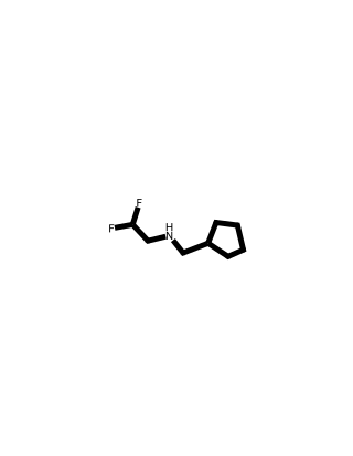 FC(F)CNCC1CCCC1